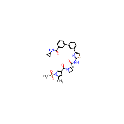 Cc1cc(C(=O)N2CC[C@H]2C(=O)Nc2nc(-c3cccc(-c4cccc(C(=O)NC5CC5)c4)c3)cs2)cn1S(C)(=O)=O